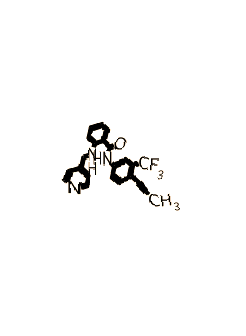 CC#Cc1ccc(NC(=O)c2ccccc2NCc2ccncc2)cc1C(F)(F)F